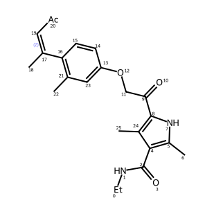 CCNC(=O)c1c(C)[nH]c(C(=O)COc2ccc(/C(C)=C\C(C)=O)c(C)c2)c1C